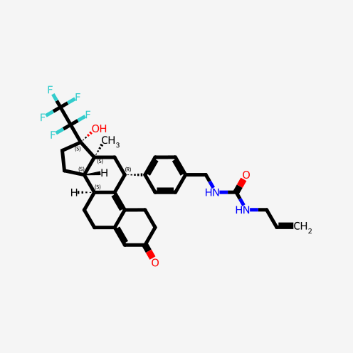 C=CCNC(=O)NCc1ccc([C@H]2C[C@@]3(C)[C@@H](CC[C@@]3(O)C(F)(F)C(F)(F)F)[C@@H]3CCC4=CC(=O)CCC4=C32)cc1